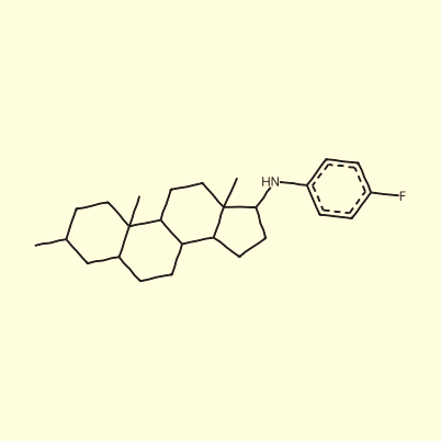 CC1CCC2(C)C(CCC3C2CCC2(C)C(Nc4ccc(F)cc4)CCC32)C1